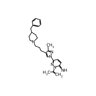 C=C(C)n1nc(-n2cc(CCCN3CCC(Cc4ccccc4)CC3)c(C)n2)ccc1=N